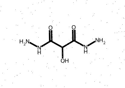 NNC(=O)C(O)C(=O)NN